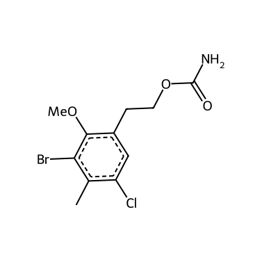 COc1c(CCOC(N)=O)cc(Cl)c(C)c1Br